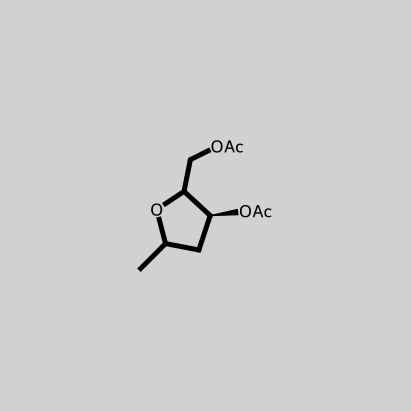 CC(=O)OCC1OC(C)C[C@@H]1OC(C)=O